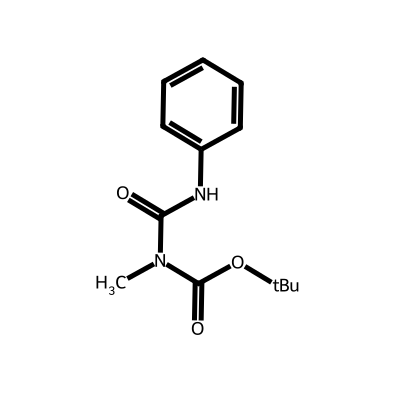 CN(C(=O)Nc1ccccc1)C(=O)OC(C)(C)C